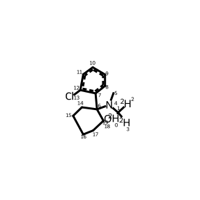 [2H]C([2H])([2H])N(C)C1(c2ccccc2Cl)CCCCC1=O